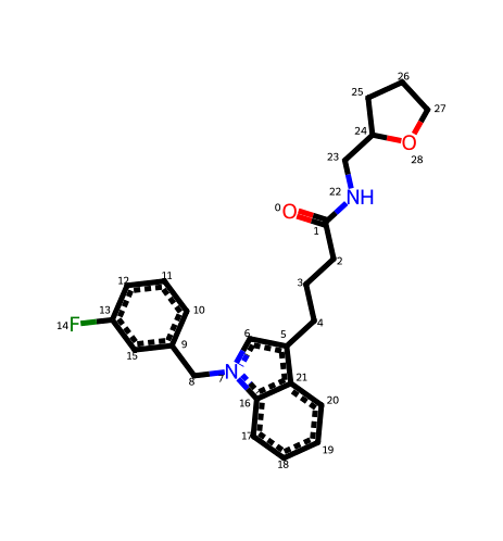 O=C(CCCc1cn(Cc2cccc(F)c2)c2ccccc12)NCC1CCCO1